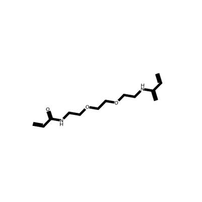 C=CC(=C)NCCOCCOCCNC(=O)C=C